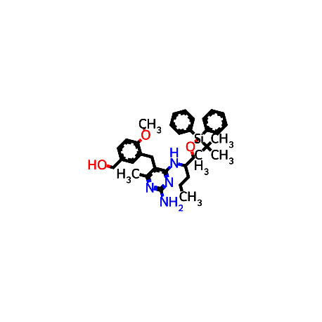 CCCC(CO[Si](c1ccccc1)(c1ccccc1)C(C)(C)C)Nc1nc(N)nc(C)c1Cc1cc(CO)ccc1OC